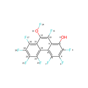 Oc1c(F)c(F)c(F)c2c1c(F)c(OF)c1c(F)c(F)c(F)c(F)c12